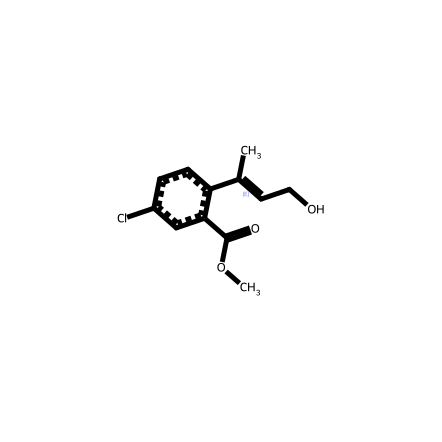 COC(=O)c1cc(Cl)ccc1/C(C)=C/CO